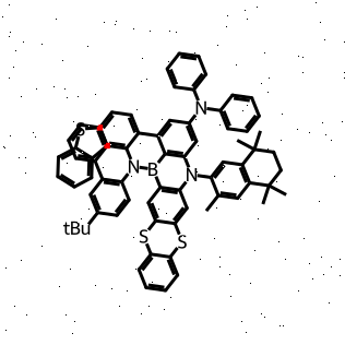 Cc1cc2c(cc1N1c3cc4c(cc3B3c5c(cc(N(c6ccccc6)c6ccccc6)cc51)-c1ccc5sc6ccccc6c5c1N3c1ccc(C(C)(C)C)cc1-c1ccccc1)Sc1ccccc1S4)C(C)(C)CCC2(C)C